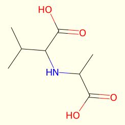 CC(NC(C(=O)O)C(C)C)C(=O)O